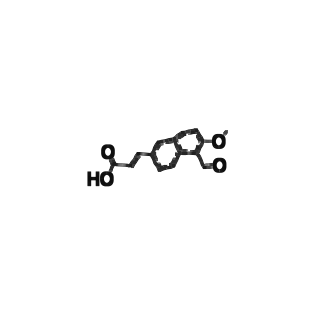 COc1ccc2cc(/C=C/C(=O)O)ccc2c1C=O